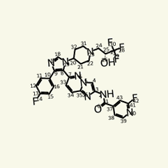 O=C(Nc1cn2nc(-c3c(-c4ccc(F)cc4)ncn3C3CCN(C[C@@H](O)C(F)(F)F)CC3)ccc2n1)c1ccnc(F)c1